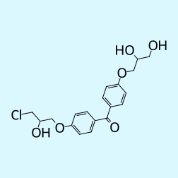 O=C(c1ccc(OCC(O)CO)cc1)c1ccc(OCC(O)CCl)cc1